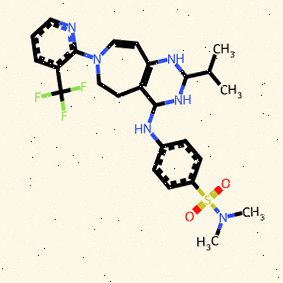 CC(C)C1NC2=C(CCN(c3ncccc3C(F)(F)F)C=C2)C(Nc2ccc(S(=O)(=O)N(C)C)cc2)N1